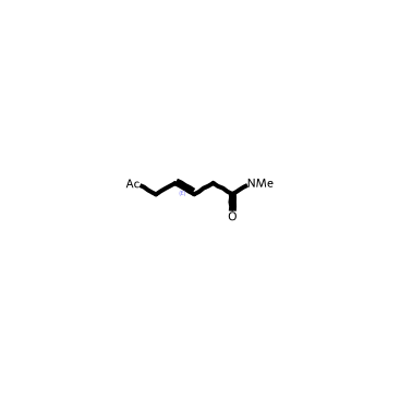 CNC(=O)C/C=C/CC(C)=O